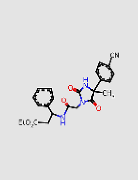 CCOC(=O)CC(NC(=O)CN1C(=O)NC(C)(c2ccc(C#N)cc2)C1=O)c1ccccc1